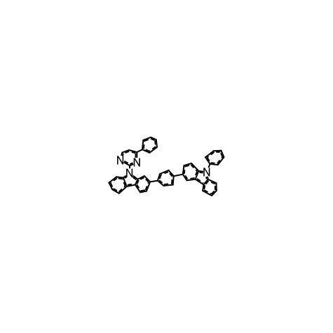 c1ccc(-c2ccnc(-n3c4ccccc4c4ccc(-c5ccc(-c6ccc7c(c6)c6ccccc6n7-c6ccccc6)cc5)cc43)n2)cc1